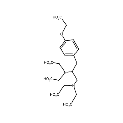 O=C(O)COc1ccc(CC(CN(CC(=O)O)CC(=O)O)N(CC(=O)O)CC(=O)O)cc1